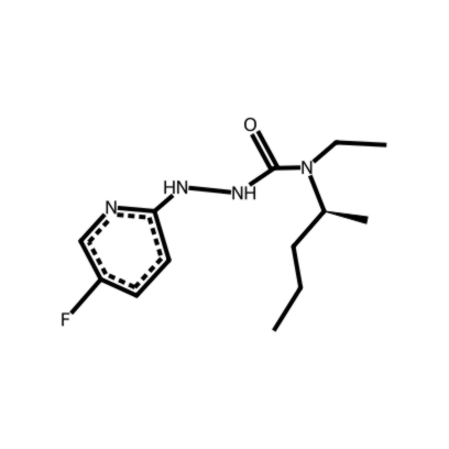 CCC[C@H](C)N(CC)C(=O)NNc1ccc(F)cn1